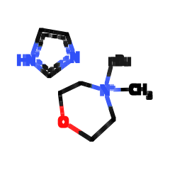 CCCC[N+]1(C)CCOCC1.c1c[nH]cn1